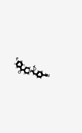 COC(Cc1ccc(C#N)cc1)N1CCC(C(=O)c2ccc(F)cc2)CC1